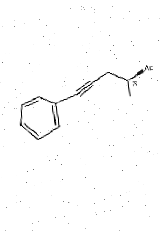 CC(=O)[C@@H](C)CC#Cc1ccccc1